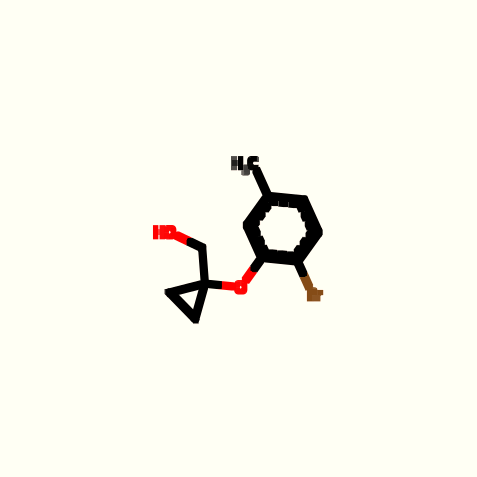 Cc1ccc(Br)c(OC2(CO)CC2)c1